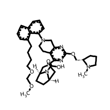 COCOCCCCc1cccc2cccc(N3CCc4c(nc(OC[C@@H]5CCCN5C)nc4N4C[C@H]5CC[C@@H](C4)N5C(=O)O)C3)c12